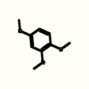 C[N]c1cc(OC)ccc1OC